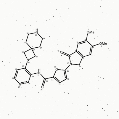 COc1cc2c(cc1OC)C(=O)N(c1ccc(C(=O)Nc3cnccc3N3CC4(CCNCC4)C3)o1)C2